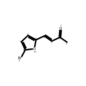 CC(=O)C=Cc1ccc(Br)o1